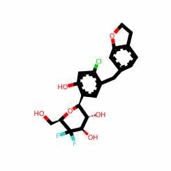 OC[C@H]1O[C@@H](c2cc(Cc3ccc4c(c3)OCC4)c(Cl)cc2O)[C@H](O)[C@@H](O)C1(F)F